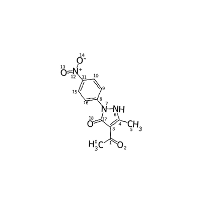 CC(=O)c1c(C)[nH]n(-c2ccc([N+](=O)[O-])cc2)c1=O